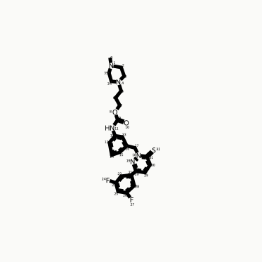 CN1CCN(CCCOC(=O)Nc2cccc(Cn3nc(-c4cc(F)cc(F)c4)ccc3=S)c2)CC1